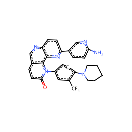 Nc1ccc(-c2ccc3ncc4ccc(=O)n(-c5ccc(N6CCCCC6)c(C(F)(F)F)c5)c4c3n2)cn1